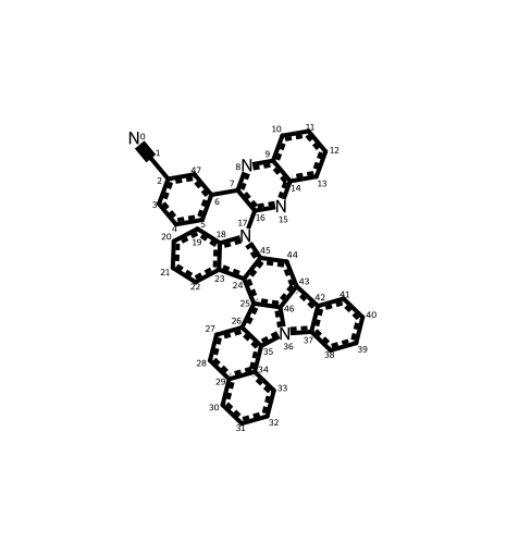 N#Cc1cccc(-c2nc3ccccc3nc2-n2c3ccccc3c3c4c5ccc6ccccc6c5n5c6ccccc6c(cc32)c45)c1